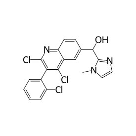 Cn1ccnc1C(O)c1ccc2nc(Cl)c(-c3ccccc3Cl)c(Cl)c2c1